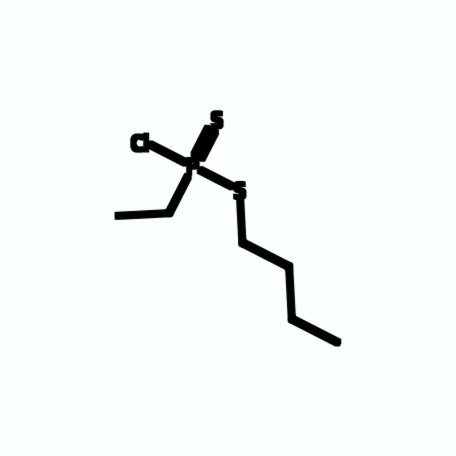 CCCCSP(=S)(Cl)CC